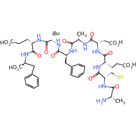 CC[C@H](C)[C@H](NC(=O)[C@H](Cc1ccccc1)NC(=O)[C@H](C)NC(=O)[C@H](CC(=O)O)NC(=O)[C@H](CCC(=O)O)NC(=O)[C@H](CS)NC(=O)[C@H](C)N)C(=O)N[C@@H](CCC(=O)O)C(=O)N[C@@H](Cc1ccccc1)C(=O)O